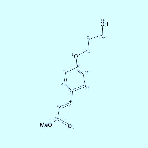 COC(=O)C=Cc1ccc(OCCCO)cc1